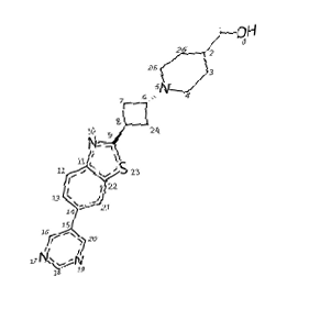 OCC1CCN([C@H]2C[C@H](c3nc4ccc(-c5cncnc5)cc4s3)C2)CC1